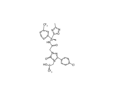 Cc1noc([C@](C)(NC(=O)Cn2nc(-c3ccc(Cl)cc3)n(C[C@H](O)C(F)(F)F)c2=O)c2cccc(C(F)(F)F)c2)n1